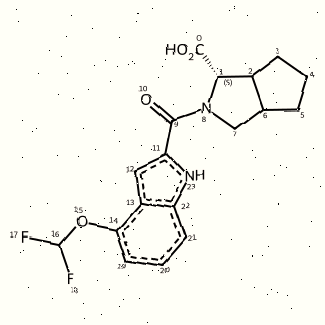 O=C(O)[C@@H]1C2CCCC2CN1C(=O)c1cc2c(OC(F)F)cccc2[nH]1